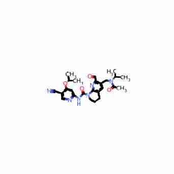 CC(=O)N(Cc1cc2c(nc1C=O)N(C(=O)Nc1cc(OC(C)C)c(C#N)cn1)CCC2)C(C)C